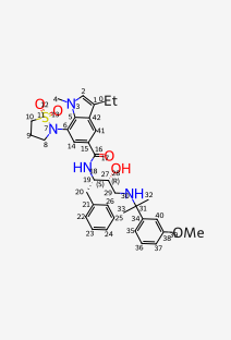 CCc1cn(C)c2c(N3CCCS3(=O)=O)cc(C(=O)N[C@@H](Cc3ccccc3)[C@H](O)CNC(C)(C)c3cccc(OC)c3)cc12